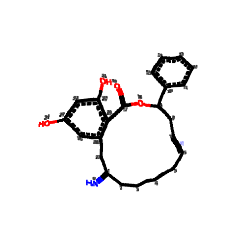 N=C1CCCC/C=C/CC(c2ccccc2)OC(=O)c2c(O)cc(O)cc2C1